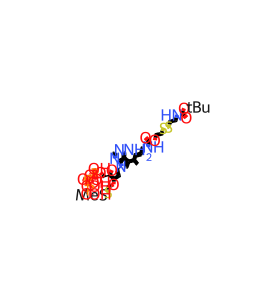 CSSCOC1C[C@H](n2cc(C(C)/C=C/CNC(=O)OCCSSCCNC(=O)OC(C)(C)C)c3c(N)ncnc32)O[C@@H]1COP(=O)(O)OP(=O)(O)OP(=O)(O)O